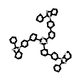 c1ccc(-c2nc3ccccc3n2-c2ccc(-c3cccc(-c4nc(-c5cccc(-c6ccc(-n7c(-c8ccccc8)nc8ccccc87)cc6)c5)nc(-c5cccc(-c6ccc(-n7c(-c8ccccc8)nc8ccccc87)cc6)c5)n4)c3)cc2)cc1